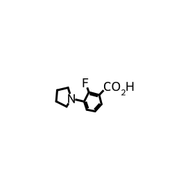 O=C(O)c1cccc(N2CCCC2)c1F